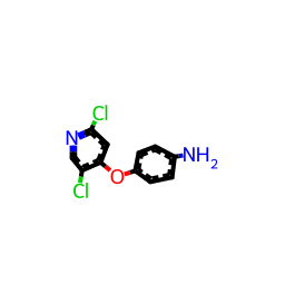 Nc1ccc(Oc2cc(Cl)ncc2Cl)cc1